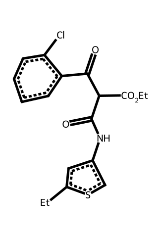 CCOC(=O)C(C(=O)Nc1csc(CC)c1)C(=O)c1ccccc1Cl